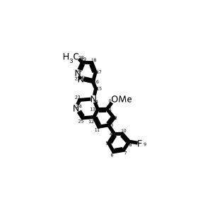 COc1cc(-c2cccc(F)c2)cc2c1N(Cc1ccc(C)nn1)CN=C2